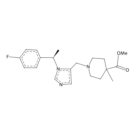 COC(=O)C1(C)CCN(Cc2cncn2[C@H](C)c2ccc(F)cc2)CC1